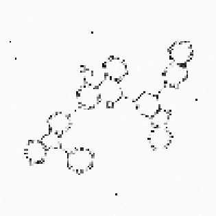 CCC(C1=Cc2c(sc3ccccc23)C(c2ccc3ccccc3c2)C1)c1ccccc1-c1ccc(-c2ccc3c4ccccc4n(-c4ccccc4)c3c2)cc1C